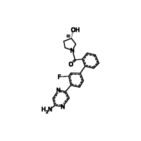 Nc1cnc(-c2ccc(-c3ccccc3C(=O)N3CC[C@H](O)C3)cc2F)cn1